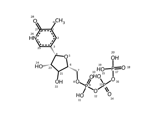 Cc1cc([C@@H]2O[C@H](COP(=O)(O)OP(=O)(O)OP(=O)(O)O)C(O)[C@@H]2O)c[nH]c1=O